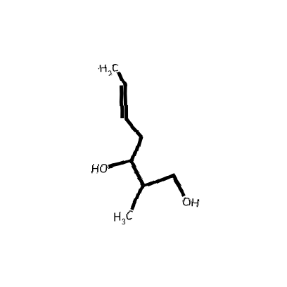 [CH2]C=CCC(O)C(C)CO